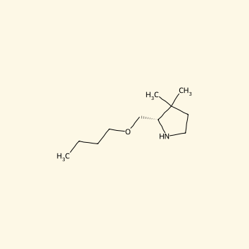 CCCCOC[C@H]1NCCC1(C)C